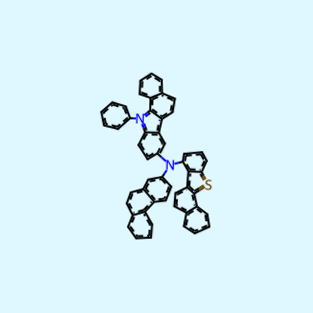 c1ccc(-n2c3ccc(N(c4ccc5c(ccc6ccccc65)c4)c4cccc5sc6c7ccccc7ccc6c45)cc3c3ccc4ccccc4c32)cc1